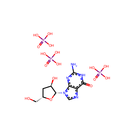 Nc1nc2c(ncn2[C@@H]2O[C@H](CO)C[C@H]2O)c(=O)[nH]1.O=P(O)(O)O.O=P(O)(O)O.O=P(O)(O)O